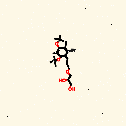 Cc1c(O[Si](C)(C)C)c(C)c(C(C)C)c(CCCOCC(O)CO)c1O[Si](C)(C)C